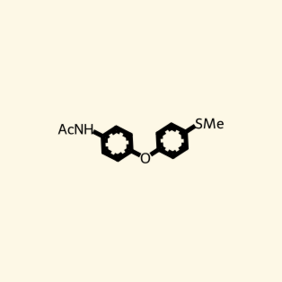 CSc1ccc(Oc2ccc(NC(C)=O)cc2)cc1